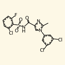 Cc1nc(C(=O)NS(=O)(=O)c2c(F)cccc2Cl)cn1-c1cc(Cl)cc(Cl)c1